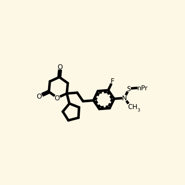 CCCSN(C)c1ccc(CCC2(C3CCCC3)CC(=O)CC(=O)O2)cc1F